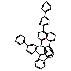 c1ccc(-c2ccc(-c3ccc(N(c4ccccc4-c4ccccc4)c4cc(-c5ccccc5)ccc4-n4c5ccccc5c5ccccc54)cc3)cc2)cc1